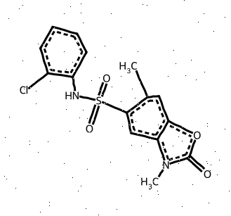 Cc1cc2oc(=O)n(C)c2cc1S(=O)(=O)Nc1ccccc1Cl